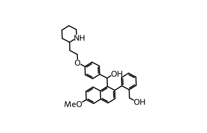 COc1ccc2c(C(O)c3ccc(OCCC4CCCCN4)cc3)c(-c3ccccc3CO)ccc2c1